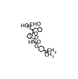 CN(C)C1CCC(OC(=O)NC(=O)[C@@H]2CCCN2C(=O)[C@H](CC2CCCC2)CN(O)C=O)CC1